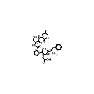 CC(C)C[C@H](NC(=O)[C@H](CO)NC(=O)[C@@H]1CCCN1C(=O)[C@H](CC(=O)O)NC(=O)[C@@H](N)Cc1ccccc1)C(=O)O